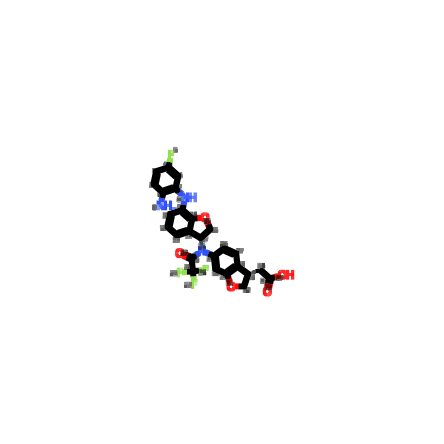 Nc1ccc(F)cc1Nc1cccc2c1OC[C@@H]2N(C(=O)C(F)(F)F)c1ccc2c(c1)OC[C@H]2CC(=O)O